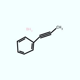 B.CC#Cc1ccccc1